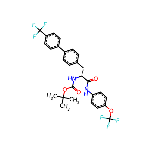 CC(C)(C)OC(=O)N[C@H](Cc1ccc(-c2ccc(C(F)(F)F)cc2)cc1)C(=O)Nc1ccc(OC(F)(F)F)cc1